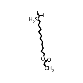 C=CC(=O)OCCCCCCCCCCC[SiH2]C(I)I